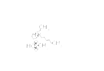 CCCCCCC[N+]1(CCC)CCCC1.CS(=O)(=O)O